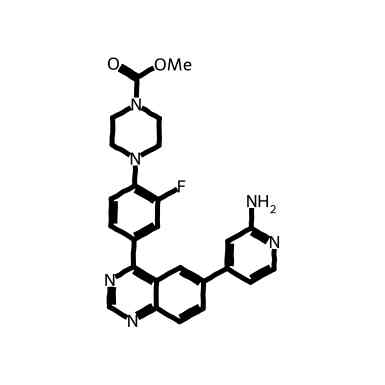 COC(=O)N1CCN(c2ccc(-c3ncnc4ccc(-c5ccnc(N)c5)cc34)cc2F)CC1